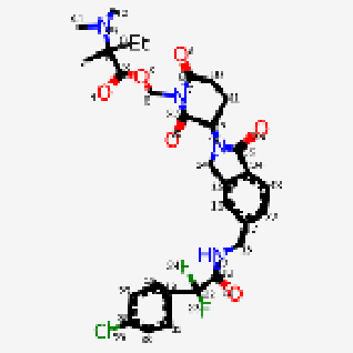 CCC(C)(C(=O)OCN1C(=O)CCC(N2Cc3cc(CNC(=O)C(F)(F)c4ccc(Cl)cc4)ccc3C2=O)C1=O)N(C)C